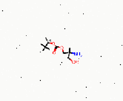 C[C@@H](OC(=O)OCC(C)(N)CO)C(C)(C)C